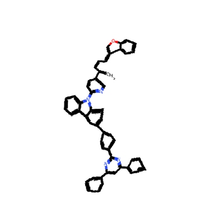 C=C(/C=C\C=C1/COc2ccccc21)c1ccc(-n2c3ccccc3c3cc(-c4ccc(-c5nc(-c6ccccc6)cc(-c6ccccc6)n5)cc4)ccc32)nc1